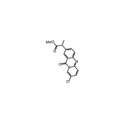 COC(=O)C(C)c1ccc2nc3ccc(Cl)cn3c(=O)c2c1